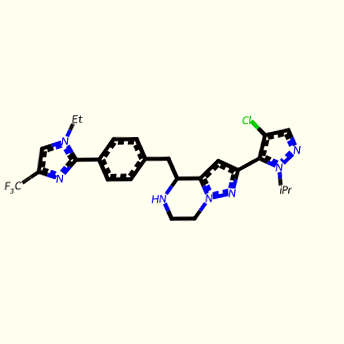 CCn1cc(C(F)(F)F)nc1-c1ccc(CC2NCCn3nc(-c4c(Cl)cnn4C(C)C)cc32)cc1